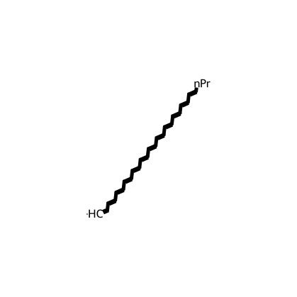 [CH]=C/C=C/C=C/C=C/C=C/C=C/C=C/C=C/C=C/C=C/C=C/C=C/CCC